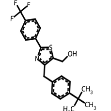 CC(C)(C)c1ccc(Cc2nc(-c3ccc(C(F)(F)F)cc3)sc2CO)cc1